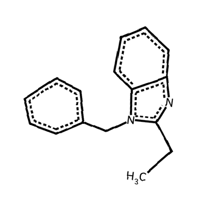 CCc1nc2ccccc2n1Cc1ccccc1